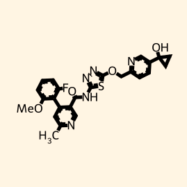 COc1cccc(F)c1-c1cc(C)ncc1C(=O)Nc1nnc(OCc2ccc(C3(O)CC3)cn2)s1